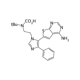 CC(C)(C)N(CCn1cnc(-c2ccccc2)c1-c1cc2c(N)ncnc2s1)C(=O)O